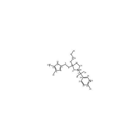 CCOCC1(CCc2cc(C)c(F)s2)CCN(C(C)(C)c2ccc(C)nc2)C1